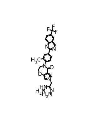 Cc1cc(-c2ncc3cc(C(F)(F)F)ccc3n2)ccc1N1CCOc2cn(C/C(=N/N)NN)nc2C1=O